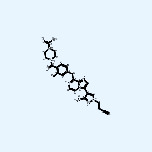 C#CCCn1cc(-c2cnc3c(Cc4ccc(C(=O)N5CCN(C(=O)CCC)CC5)c(C)c4)nccn23)c(C(F)(F)F)n1